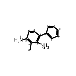 Cc1c(N)ccc(-c2ccccc2)c1N